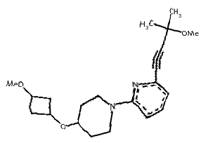 COC1CC(OC2CCN(c3cccc(C#CC(C)(C)OC)n3)CC2)C1